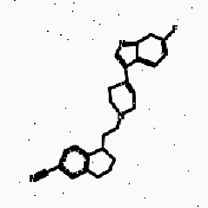 N#Cc1ccc2c(c1)CCCC2CCN1CC=C(C2=CN=C3CC(F)=CC=C23)CC1